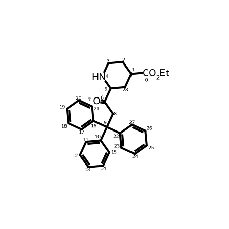 CCOC(=O)C1CCNC(C(=O)CC(c2ccccc2)(c2ccccc2)c2ccccc2)C1